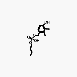 CCCCOP(=O)(O)OCc1ccc(O)c(C)c1C